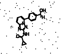 [2H]C(O)c1ccc(-c2cccc3nc(NC(=O)C4CC4)nn23)cc1